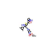 Cc1cc(C)cc(-c2[nH]c3sc(C(C)(C)C(=O)C4C5CCC4NC5)cc3c2CCN2CC3CN(C(=O)OC(C)(C)C)CC3C2)c1